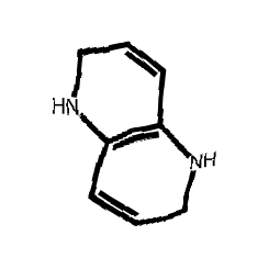 C1=CC2=C(C=CCN2)NC1